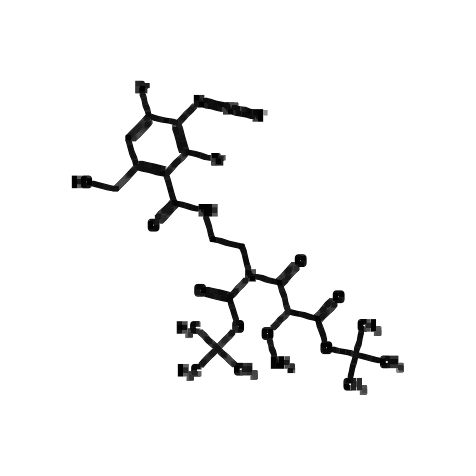 CC(C)(C)OC(=O)C(ON)C(=O)N(CCNC(=O)c1c(CO)cc(Br)c(N=[N+]=[N-])c1Br)C(=O)OC(C)(C)C